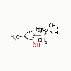 Cc1ccc(C(C)(C)CC(C)(C)C)c(O)c1